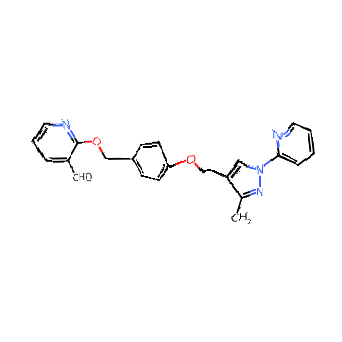 Cc1nn(-c2ccccn2)cc1COc1ccc(COc2ncccc2C=O)cc1